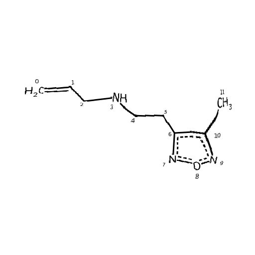 C=CCNCCc1nonc1C